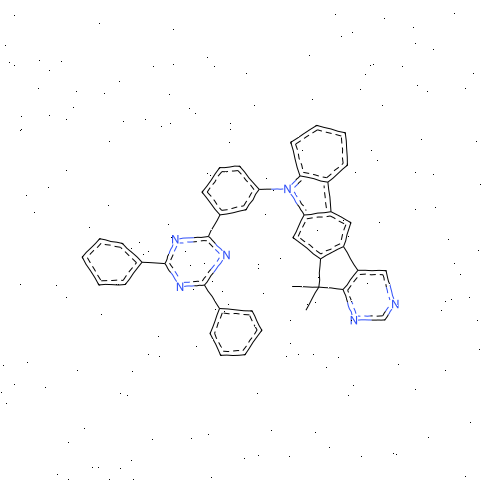 CC1(C)c2cc3c(cc2-c2cncnc21)c1ccccc1n3-c1cccc(-c2nc(-c3ccccc3)nc(-c3ccccc3)n2)c1